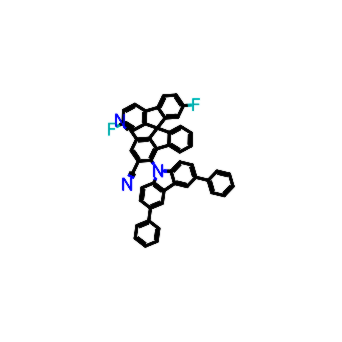 N#Cc1cc(C#N)c2c(c1-n1c3ccc(-c4ccccc4)cc3c3cc(-c4ccccc4)ccc31)-c1ccccc1C21c2cc(F)ccc2-c2ccc(F)cc21